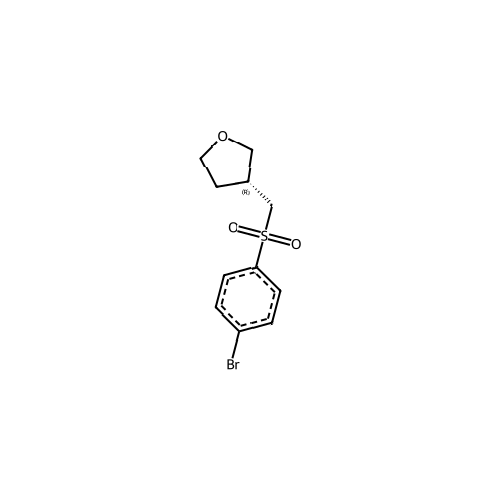 O=S(=O)(C[C@@H]1CCOC1)c1ccc(Br)cc1